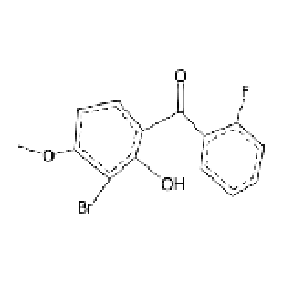 COc1ccc(C(=O)c2ccccc2F)c(O)c1Br